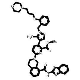 Cc1c(-c2ccc(N3CCc4cccc(C(=O)Nc5nc6ccccc6s5)c4C3)nc2C(=O)OC(C)(C)C)cnn1Cc1ccccc1OCCCN1CCOCC1